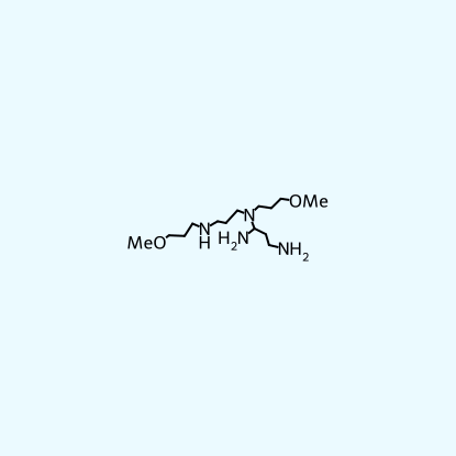 COCCCNCCCN(CCCOC)C(N)CCN